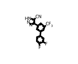 N#Cc1[nH]nnc1-c1cc(-c2ccc(F)c(F)c2)cc(C(F)(F)F)c1